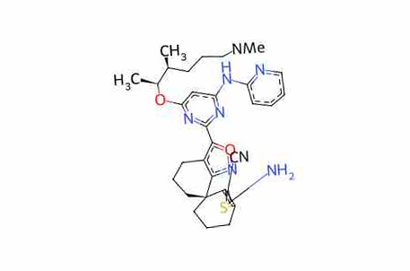 CNCCC[C@H](C)[C@H](C)Oc1cc(Nc2ccccn2)nc(-c2onc3c2CCC[C@@]32CCCc3sc(N)c(C#N)c32)n1